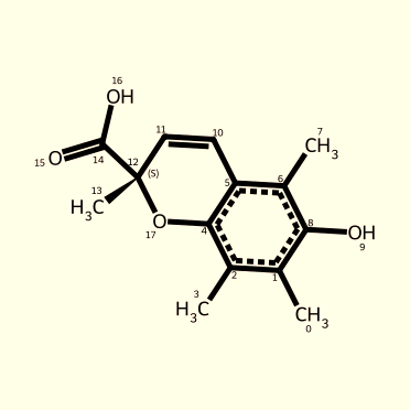 Cc1c(C)c2c(c(C)c1O)C=C[C@@](C)(C(=O)O)O2